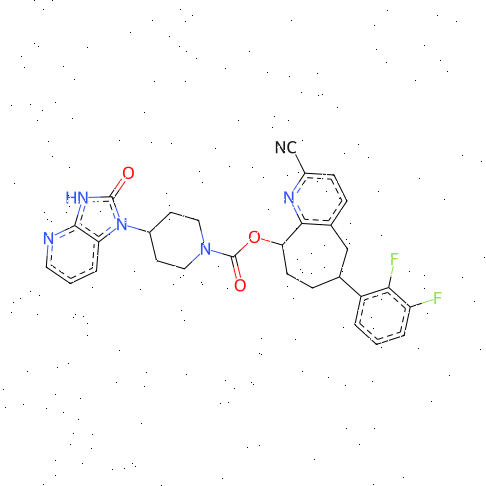 N#Cc1ccc2c(n1)C(OC(=O)N1CCC(n3c(=O)[nH]c4ncccc43)CC1)CCC(c1cccc(F)c1F)C2